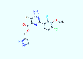 COc1c(Cl)ccc(-c2nc(N)c(Br)c(C(=O)OCc3ccn[nH]3)n2)c1F